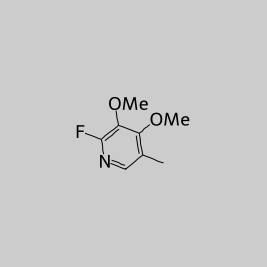 COc1c(C)cnc(F)c1OC